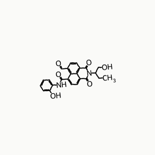 CCC(CO)N1C(=O)c2ccc(C=O)c3c(C(=O)Nc4ccccc4O)ccc(c23)C1=O